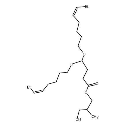 [CH2]C(CO)COC(=O)CCC(OCCCC/C=C\CC)OCCCC/C=C\CC